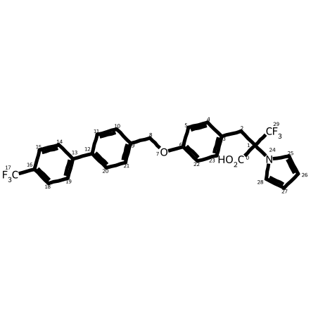 O=C(O)C(Cc1ccc(OCc2ccc(-c3ccc(C(F)(F)F)cc3)cc2)cc1)(n1cccc1)C(F)(F)F